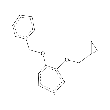 [c]1ccc(OCc2ccccc2)c(OCC2CC2)c1